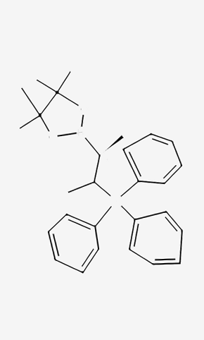 CC([C@H](C)B1OC(C)(C)C(C)(C)O1)[Si](c1ccccc1)(c1ccccc1)c1ccccc1